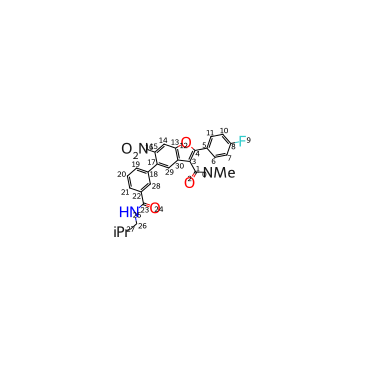 CNC(=O)c1c(-c2ccc(F)cc2)oc2cc([N+](=O)[O-])c(-c3cccc(C(=O)NCC(C)C)c3)cc12